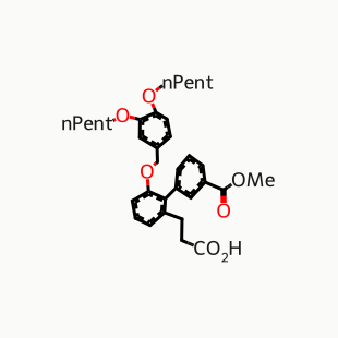 CCCCCOc1ccc(COc2cccc(CCC(=O)O)c2-c2cccc(C(=O)OC)c2)cc1OCCCCC